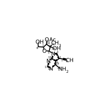 C#Cc1cn(C2OC(CO)C(OC(C)=O)C2(C)O)c2ncnc(N)c12